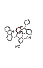 C#C/C=C(\C(C#N)=C(/C)c1cc(C#N)cc(C#N)c1-c1c2ccccc2c(-c2ccccc2)c2ccccc12)n1c2ccccc2c2ccccc21